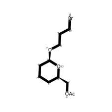 CC(=O)OC[C@H]1CCC[C@@H](OCCCBr)O1